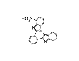 O=S(=O)(O)c1cccc2sc(-c3ccccc3-c3nc4ccccc4s3)nc12